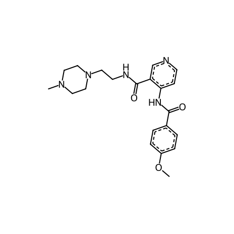 COc1ccc(C(=O)Nc2ccncc2C(=O)NCCN2CCN(C)CC2)cc1